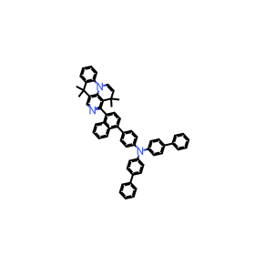 CC1(C)C=CN2c3ccccc3C(C)(C)c3cnc(-c4ccc(-c5ccc(N(c6ccc(-c7ccccc7)cc6)c6ccc(-c7ccccc7)cc6)cc5)c5ccccc45)c1c32